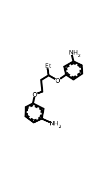 CCC(CCOc1cccc(N)c1)Oc1cccc(N)c1